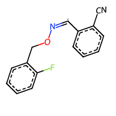 N#Cc1ccccc1/[C]=N\OCc1ccccc1F